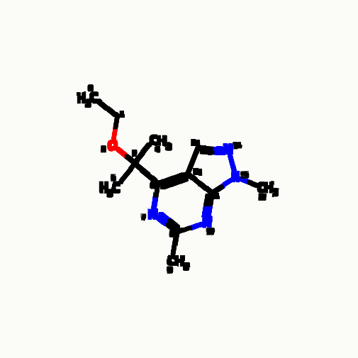 CCOC(C)(C)c1nc(C)nc2c1cnn2C